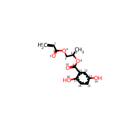 C=CC(=O)OCC(C)OC(=O)c1cc(O)ccc1O